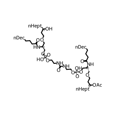 CCCCCCCCCCCCCC(=O)N[C@H](COCC[C@@H](CCCCCCC)OC(C)=O)COP(=O)(O)OCCNC(=O)NCCOP(=O)(O)OC[C@H](COCC[C@H](O)CCCCCCC)NC(=O)CCCCCCCCCCCCC